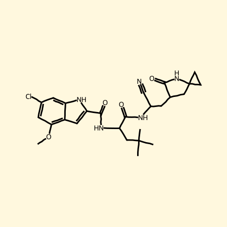 COc1cc(Cl)cc2[nH]c(C(=O)NC(CC(C)(C)C)C(=O)NC(C#N)CC3CC4(CC4)NC3=O)cc12